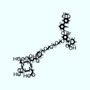 Cc1c(COc2cc(OCCOCCOCCOCCN3CCN(C(=O)CCC(C(=O)O)N4CCN(CC(=O)O)CCN(CC(=O)O)CCN(CC5OC5O)CC4)CC3)c(CN3CCCC[C@H]3C(=O)O)cc2Br)cccc1-c1ccc2c(c1)OCCO2